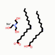 CCCCCCCC/C=C\CCCCCCCC(=O)O.CCCCCCCC/C=C\CCCCCCCC(=O)[O-].OCCN(CCO)CCO.[Na+]